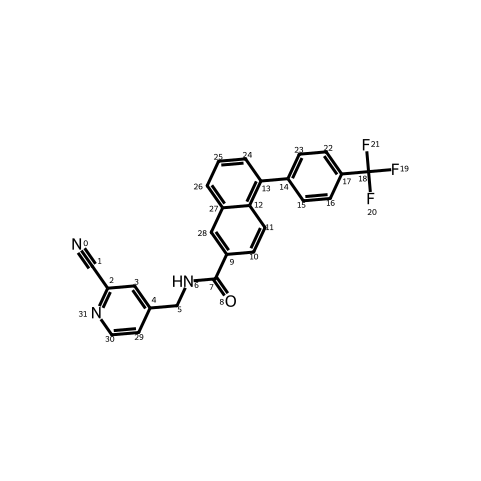 N#Cc1cc(CNC(=O)c2ccc3c(-c4ccc(C(F)(F)F)cc4)cccc3c2)ccn1